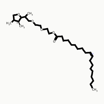 CCCCCCCC/C=C\CCCCCCCCC(=O)OCCOCCOCC(C)C1OCC(C)[C@@H]1C